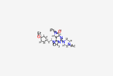 CCOc1ccc(CCN(C)c2nc(N3CCN(C(C)=O)CC3)nc3c2CN(C(C)C)C3=O)cc1